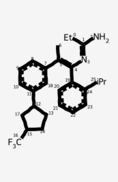 CC/C(N)=N\C(=C(/C)c1cccc(C2CCC(C(F)(F)F)C2)c1)c1ccccc1C(C)C